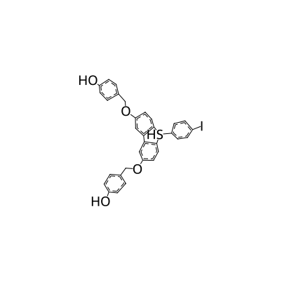 Oc1ccc(COc2ccc3c(c2)-c2cc(OCc4ccc(O)cc4)ccc2[SH]3c2ccc(I)cc2)cc1